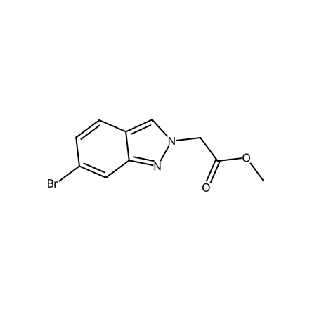 COC(=O)Cn1cc2ccc(Br)cc2n1